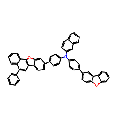 c1ccc(-c2cc3c4ccc(-c5ccc(N(c6ccc(-c7ccc8oc9ccccc9c8c7)cc6)c6ccc7ccccc7c6)cc5)cc4oc3c3ccccc23)cc1